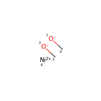 C[O-].C[O-].[Ni+2]